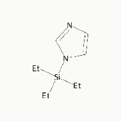 CC[Si](CC)(CC)n1ccnc1